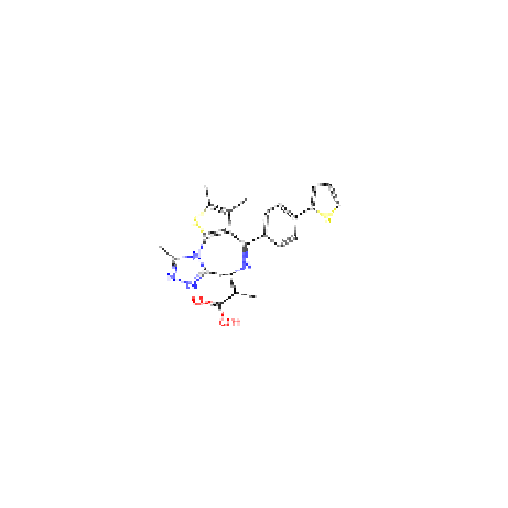 Cc1sc2c(c1C)C(c1ccc(-c3cccs3)cc1)=N[C@@H](C(C)C(=O)O)c1nnc(C)n1-2